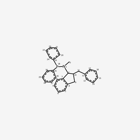 CN(C1c2ccccc2CC1Cc1ccccc1)P(c1ccccc1)c1ccccc1